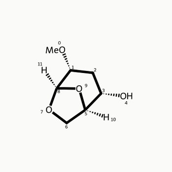 CO[C@@H]1C[C@H](O)[C@H]2CO[C@@H]1O2